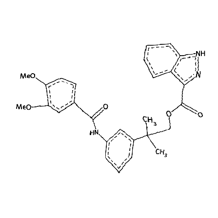 COc1ccc(C(=O)Nc2cccc(C(C)(C)COC(=O)c3n[nH]c4ccccc34)c2)cc1OC